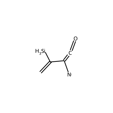 C=C([SiH3])C([N])=C=O